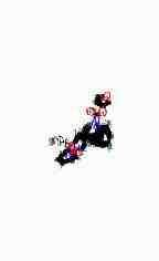 CCCOC(=O)N1C2CCC1CC(N1CCC3(CC1)CN(C(=O)OC1CCOC1)c1ccc(F)cc13)C2